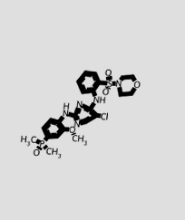 COc1cc(P(C)(C)=O)ccc1Nc1ncc(Cl)c(Nc2ccccc2S(=O)(=O)N2CCOCC2)n1